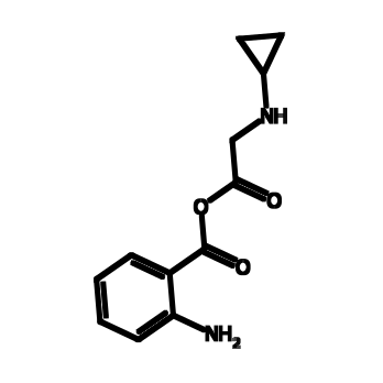 Nc1ccccc1C(=O)OC(=O)CNC1CC1